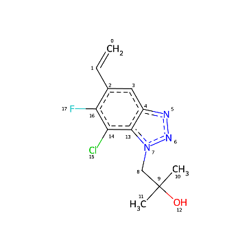 C=Cc1cc2nnn(CC(C)(C)O)c2c(Cl)c1F